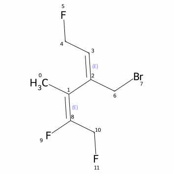 CC(/C(=C\CF)CBr)=C(\F)CF